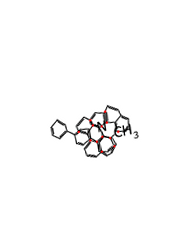 CC1C=Cc2cccc(-c3ccccc3N(C3=C(c4ccc(-c5ccccc5)cc4)C=CC=CC3)c3cccc4ccccc34)c2C1c1ccccc1